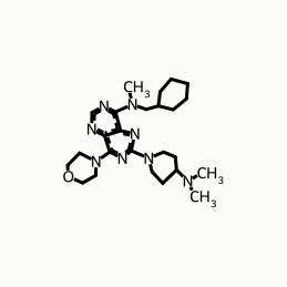 CN(CC1CCCCC1)c1ncnc2c(N3CCOCC3)nc(N3CCC(N(C)C)CC3)nc12